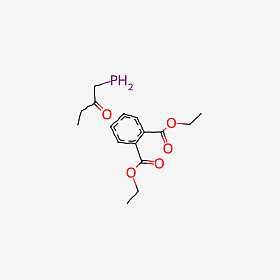 CCC(=O)CP.CCOC(=O)c1ccccc1C(=O)OCC